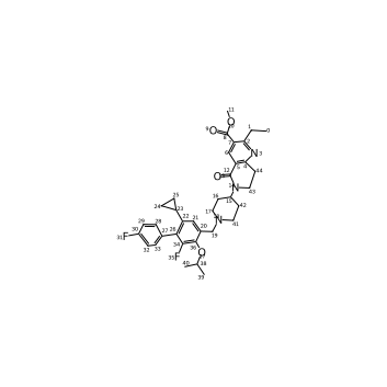 CCc1nc2c(cc1C(=O)OC)C(=O)N(C1CCN(Cc3cc(C4CC4)c(-c4ccc(F)cc4)c(F)c3OC(C)C)CC1)CC2